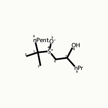 CCCCCC(C)(C)[S+]([O-])CC(O)CCC